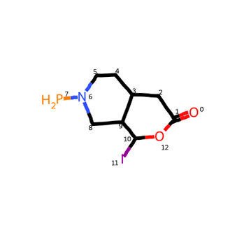 O=C1CC2CCN(P)CC2C(I)O1